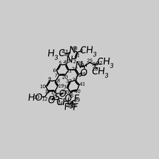 Cc1cn(-c2ccc(-c3ccc(CO)c(S(C)(=O)=O)c3)cc2-c2nc(CC(C)C)oc2-c2ccc(OC(F)(F)F)cc2)c(C)n1